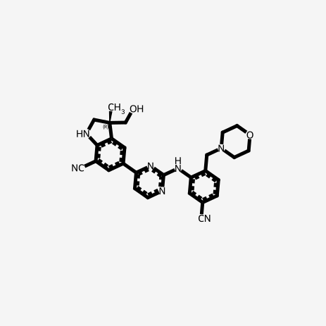 C[C@]1(CO)CNc2c(C#N)cc(-c3ccnc(Nc4cc(C#N)ccc4CN4CCOCC4)n3)cc21